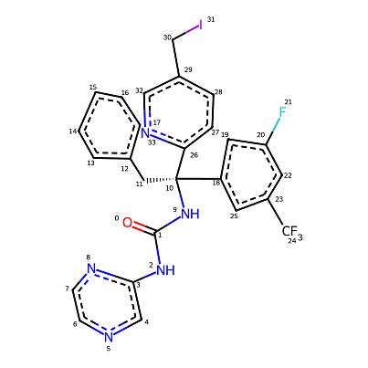 O=C(Nc1cnccn1)N[C@](Cc1ccccc1)(c1cc(F)cc(C(F)(F)F)c1)c1ccc(CI)cn1